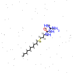 CCCCCCCCCCSCCCNC(=O)NC(=N)N